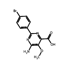 COc1c(N)nc(-c2ccc(Br)cc2)nc1C(=O)O